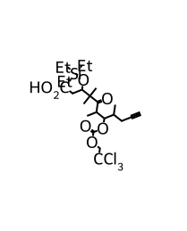 C#CCC(C)C(OC(=O)OCC(Cl)(Cl)Cl)C(C)C(=O)C(C)(C)C(CC(=O)O)O[Si](CC)(CC)CC